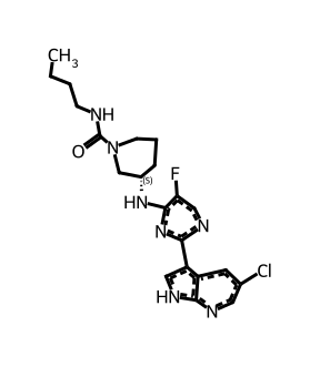 CCCCNC(=O)N1CCC[C@H](Nc2nc(-c3c[nH]c4ncc(Cl)cc34)ncc2F)C1